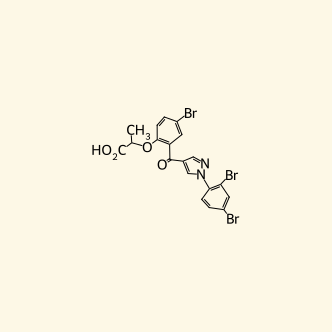 CC(Oc1ccc(Br)cc1C(=O)c1cnn(-c2ccc(Br)cc2Br)c1)C(=O)O